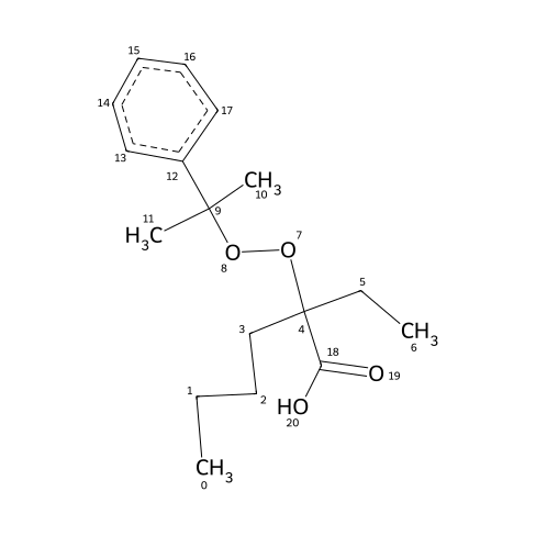 CCCCC(CC)(OOC(C)(C)c1ccccc1)C(=O)O